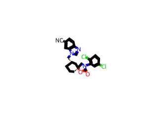 N#Cc1ccc2ncn(C[C@H]3CCC[C@]4(C3)CN(c3cc(Cl)ccc3Cl)C(=O)O4)c2c1